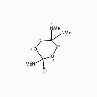 CCC1(NC)OCC(NC)(NC)CO1